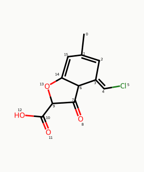 CC1=CC(=CCl)C2C(=O)C(C(=O)O)OC2=C1